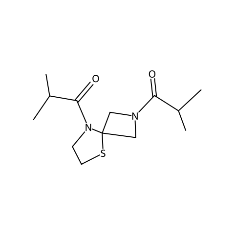 CC(C)C(=O)N1CC2(C1)SCCN2C(=O)C(C)C